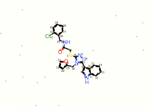 O=C(CSc1nnc(-c2c[nH]c3ccccc23)n1Cc1ccco1)NCc1ccccc1Cl